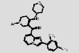 CC(=O)N1CCC(NC2CCOCC2)=C(C(=N)c2cccn3cc(-c4ccc(C)cc4C)nc23)C1